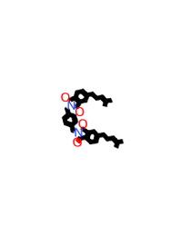 CC(C)=CCCC1=CCC2=C(C1)C(=O)N(Cc1ccc(CN3C(=O)C4=C(CC(CCC=C(C)C)=CC4)C3=O)cc1)C2=O